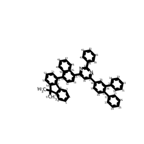 CC1(C)c2ccccc2-c2c(-c3ccc(-c4cc(-c5ccc(-c6ccccc6)c(-c6ccccc6)c5)nc(-c5ccccc5)n4)c4ccccc34)cccc21